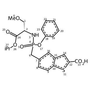 COC[C@H](NP(=O)(Cc1ccc2sc(C(=O)O)cc2c1)Oc1ccccc1)C(=O)OC(C)C